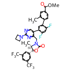 COC(=O)c1ccc(-c2cc(-c3cnc(N4CCC4)nc3CN3C(=O)O[C@H](c4cc(C(F)(F)F)cc(C(F)(F)F)c4)[C@@H]3C)c(F)cc2F)c(C)c1